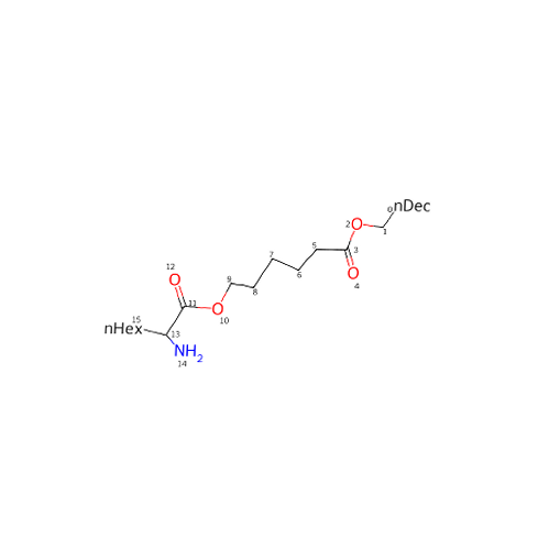 CCCCCCCCCCCOC(=O)CCCCCOC(=O)C(N)CCCCCC